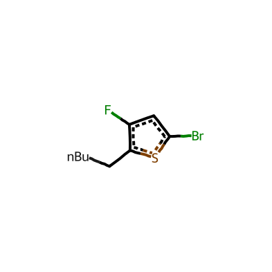 CCCCCc1sc(Br)cc1F